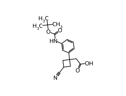 CC(C)(C)OC(=O)Nc1cccc(C2(CC(=O)O)CC(C#N)C2)c1